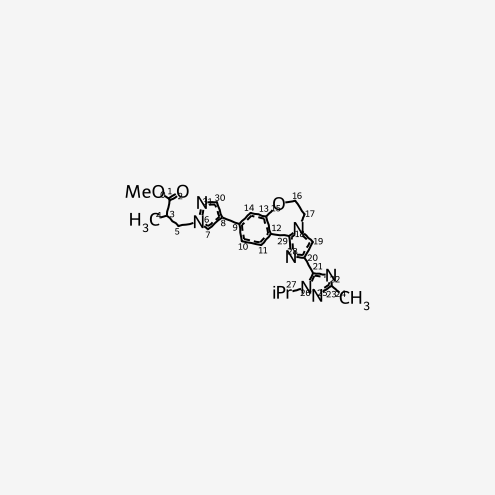 COC(=O)C(C)Cn1cc(-c2ccc3c(c2)OCCn2cc(-c4nc(C)nn4C(C)C)nc2-3)cn1